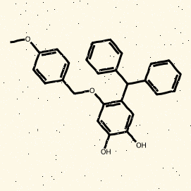 COc1ccc(COc2cc(O)c(O)cc2C(c2ccccc2)c2ccccc2)cc1